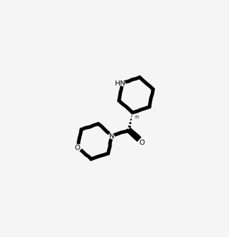 O=C([C@H]1CCCNC1)N1CCOCC1